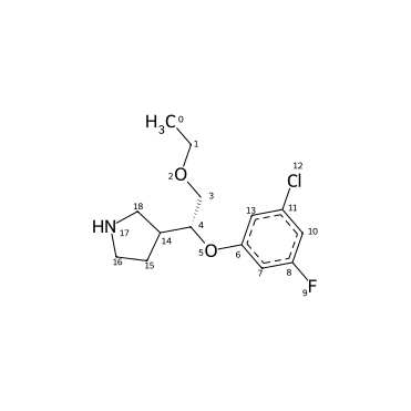 CCOC[C@H](Oc1cc(F)cc(Cl)c1)C1CCNC1